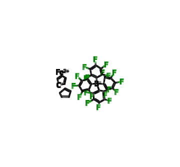 C1=CCC=C1.Fc1c(F)c(F)c([B-](c2c(F)c(F)c(F)c(F)c2F)(c2c(F)c(F)c(F)c(F)c2F)c2c(F)c(F)c(F)c(F)c2F)c(F)c1F.[Fe+2].c1cc[cH-]c1